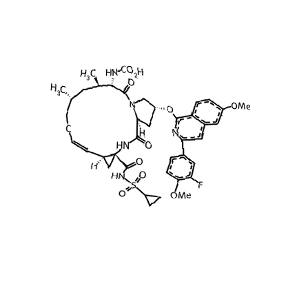 COc1ccc2c(O[C@@H]3C[C@H]4C(=O)N[C@]5(C(=O)NS(=O)(=O)C6CC6)C[C@H]5C=CCC[C@H](C)C[C@@H](C)[C@H](NC(=O)O)C(=O)N4C3)nc(-c3ccc(OC)c(F)c3)cc2c1